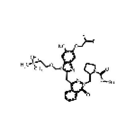 CC(C)(C)OC(=O)N1CCCC1Cn1nc(Cc2nc3cc(OCC(F)F)c(C#N)cc3n2COCCS(C)(C)C)c2ccccc2c1=O